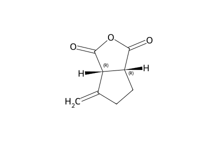 C=C1CC[C@H]2C(=O)OC(=O)[C@@H]12